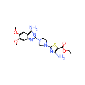 CCOC(=O)c1sc(N2CCN(c3nc(N)c4cc(OC)c(OC)cc4n3)CC2)nc1N